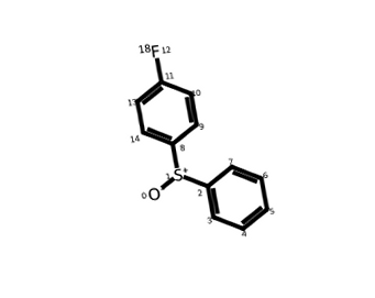 [O-][S+](c1ccccc1)c1ccc([18F])cc1